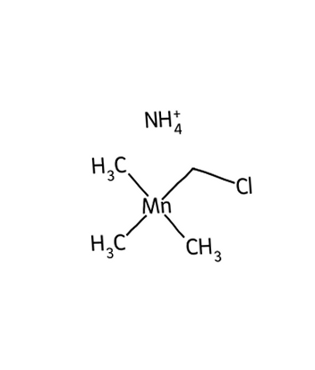 [CH3][Mn]([CH3])([CH3])[CH2]Cl.[NH4+]